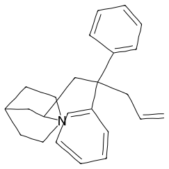 C=CCC(CC1CC2CCN1CC2)(c1ccccc1)c1ccccc1